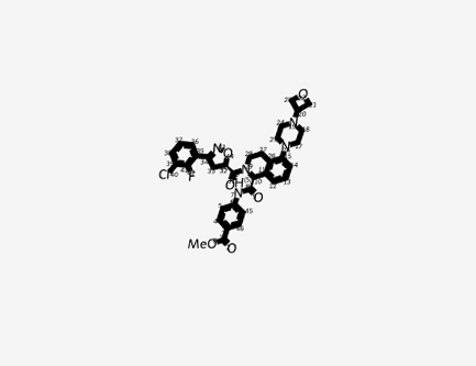 COC(=O)c1ccc(NC(=O)[C@@H]2c3cccc(N4CCN(C5COC5)CC4)c3CCN2C(=O)[C@H]2CC(c3cccc(Cl)c3F)=NO2)cc1